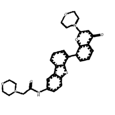 O=C(CN1CCOCC1)Nc1ccc2sc3c(-c4cccc5c(=O)cc(N6CCOCC6)oc45)cccc3c2c1